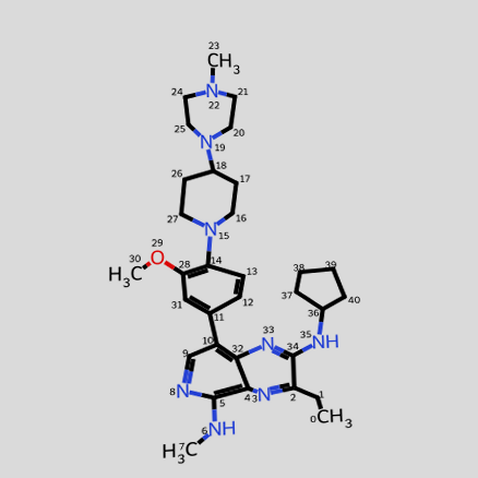 CCc1nc2c(NC)ncc(-c3ccc(N4CCC(N5CCN(C)CC5)CC4)c(OC)c3)c2nc1NC1CCCC1